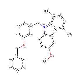 COc1ccc2c(c1)c1c(C)ccc(C)c1n2Cc1cccc(OCc2ccccc2)c1